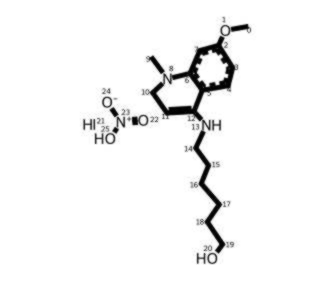 COc1ccc2c(c1)N(C)CC=C2NCCCCCCO.I.O=[N+]([O-])O